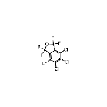 FC1(F)OC(F)(F)c2c(Cl)c(Cl)c(Cl)c(Cl)c21